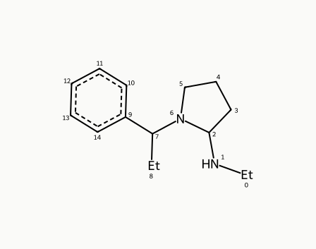 CCNC1CCCN1C(CC)c1ccccc1